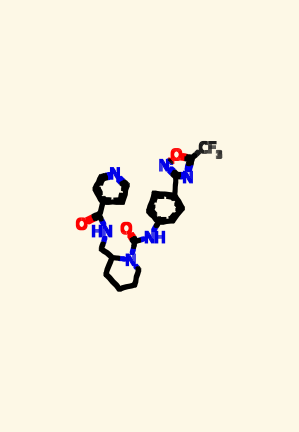 O=C(NCC1CCCCN1C(=O)Nc1ccc(-c2noc(C(F)(F)F)n2)cc1)c1ccncc1